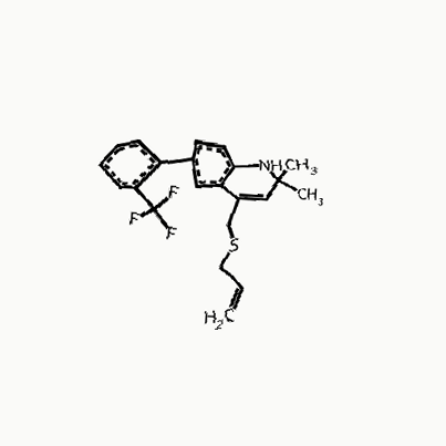 C=CCSCC1=CC(C)(C)Nc2ccc(-c3ccccc3C(F)(F)F)cc21